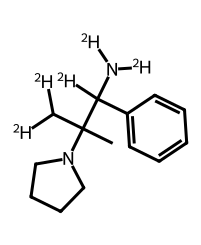 [2H]C([2H])C(C)(N1CCCC1)C([2H])(c1ccccc1)N([2H])[2H]